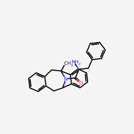 CC12Cc3ccccc3CC(c3ccccc31)N2C(=O)[C@@H](N)Cc1ccccc1